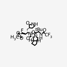 CC(C)(C)[C@@H](NC(=O)C(F)(F)F)C(=O)N1C[C@@H]2CCC[C@@H]2[C@@H]1C(=O)N[C@H](/C=C(\F)S(C)(=O)=O)C[C@@H]1CCNC1=O